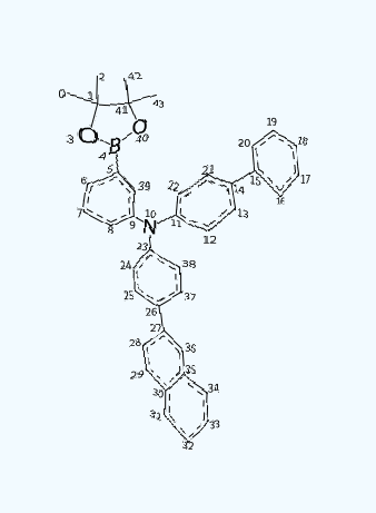 CC1(C)OB(c2cccc(N(c3ccc(-c4ccccc4)cc3)c3ccc(-c4ccc5ccccc5c4)cc3)c2)OC1(C)C